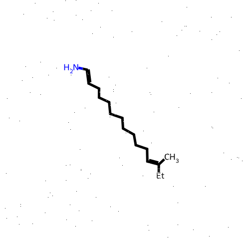 CCC(C)=CCCCCCCCCCC=CN